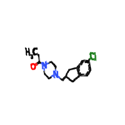 CCC(=O)N1CCN(CC2Cc3ccc(Cl)cc3C2)CC1